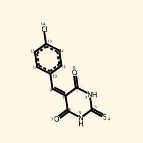 O=C1NC(=S)NC(=O)C1=Cc1ccc(Cl)cc1